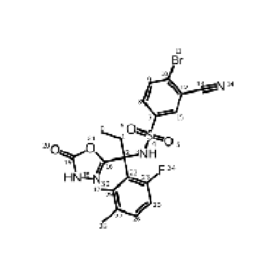 CCC(NS(=O)(=O)c1ccc(Br)c(C#N)c1)(c1n[nH]c(=O)o1)c1c(F)ccc(C)c1C